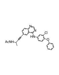 CC(=O)NC(C)C#Cc1ccc2ncnc(Nc3ccc(Oc4ccccc4)c(Cl)c3)c2c1